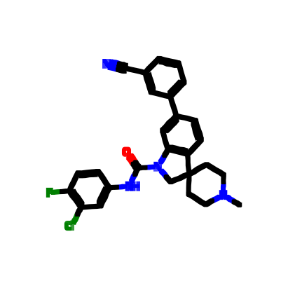 CN1CCC2(CC1)CN(C(=O)Nc1ccc(F)c(Cl)c1)c1cc(-c3cccc(C#N)c3)ccc12